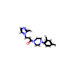 Cc1ccc(N2CCN(C(=O)CCn3ccnc3C)CC2)c(C)c1